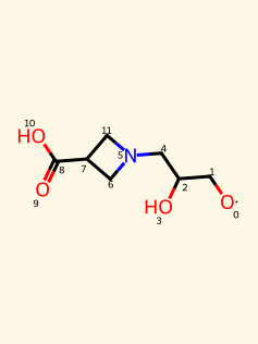 [O]CC(O)CN1CC(C(=O)O)C1